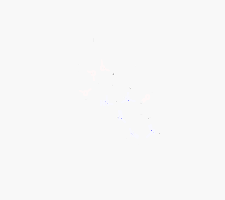 C=CCOc1cccc(-n2c(NCC(OC)OC)nc3nc(SC)ncc3c2=O)c1